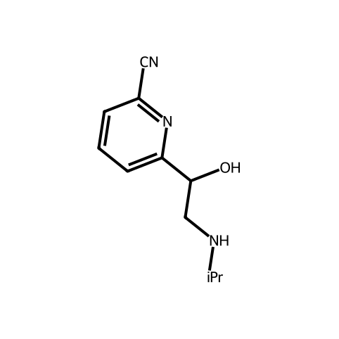 CC(C)NCC(O)c1cccc(C#N)n1